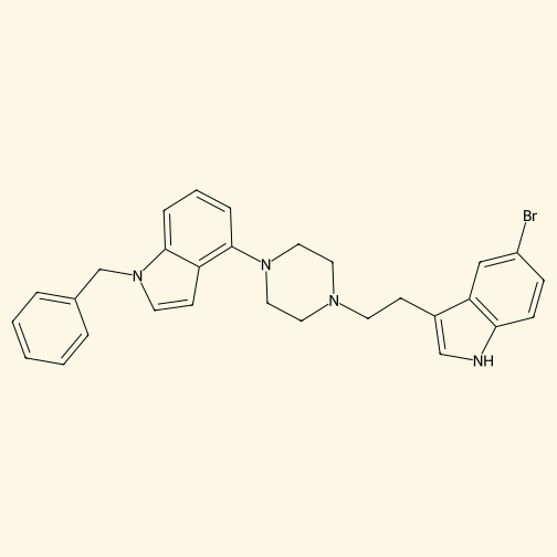 Brc1ccc2[nH]cc(CCN3CCN(c4cccc5c4ccn5Cc4ccccc4)CC3)c2c1